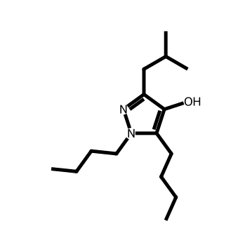 CCCCc1c(O)c(CC(C)C)nn1CCCC